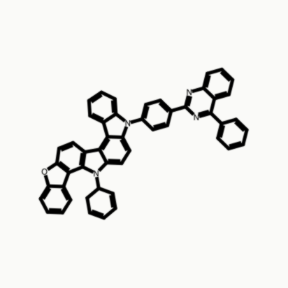 C1=CCC(n2c3ccc4c(c5ccccc5n4-c4ccc(-c5nc(-c6ccccc6)c6ccccc6n5)cc4)c3c3ccc4oc5ccccc5c4c32)C=C1